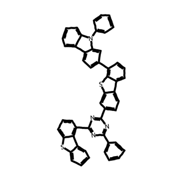 c1ccc(-c2nc(-c3ccc4c(c3)sc3c(-c5ccc6c7ccccc7n(-c7ccccc7)c6c5)cccc34)nc(-c3cccc4sc5ccccc5c34)n2)cc1